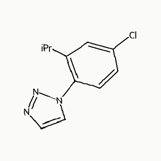 CC(C)c1cc(Cl)ccc1-n1ccnn1